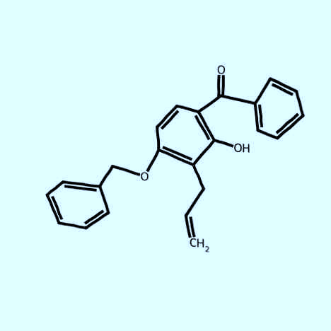 C=CCc1c(OCc2ccccc2)ccc(C(=O)c2ccccc2)c1O